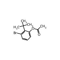 CC(=O)Oc1cccc(Br)c1C(C)(C)C